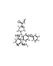 C=CC(=O)N1CCC(CNc2ccnc(N)c2-c2ccc(Oc3ccccc3)cc2)CC1